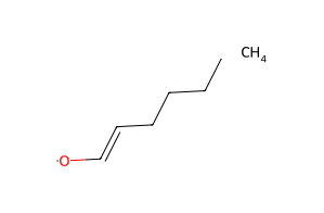 C.CCCCC=C[O]